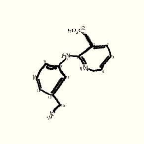 O=C(O)c1cccnc1Nc1cccc(CF)c1